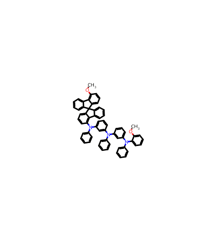 COc1ccccc1N(c1ccccc1)c1cccc(N(c2ccccc2)c2cccc(N(c3ccccc3)c3cccc4c3-c3ccccc3C43c4ccccc4-c4c(OC)cccc43)c2)c1